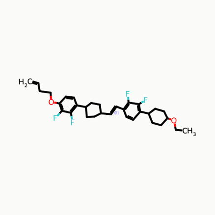 C=CCCOc1ccc(C2CCC(/C=C/c3ccc(C4CCC(OCC)CC4)c(F)c3F)CC2)c(F)c1F